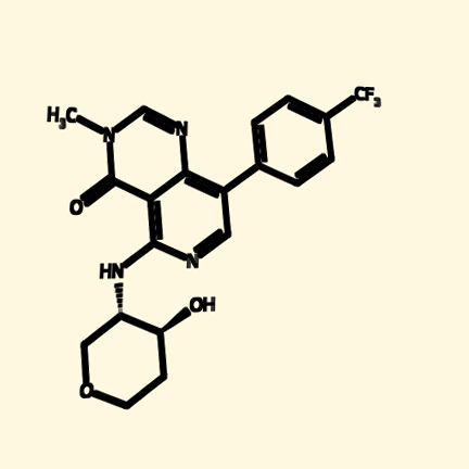 Cn1cnc2c(-c3ccc(C(F)(F)F)cc3)cnc(N[C@H]3COCC[C@@H]3O)c2c1=O